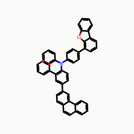 c1ccc(-c2cc(-c3ccc4ccc5ccccc5c4c3)ccc2N(c2ccccc2)c2ccc(-c3cccc4c3oc3ccccc34)cc2)cc1